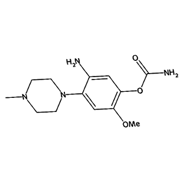 COc1cc(N2CCN(C)CC2)c(N)cc1OC(N)=O